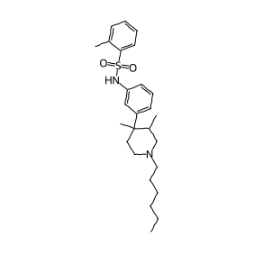 CCCCCCN1CCC(C)(c2cccc(NS(=O)(=O)c3ccccc3C)c2)C(C)C1